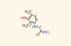 Cc1ccc(NCC(N)=O)c(C)c1O